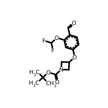 CC(C)(C)OC(=O)N1CC(Oc2ccc(C=O)c(OC(F)F)c2)C1